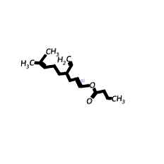 C=CC(C/C=C/OC(=O)CCC)CCC=C(C)C